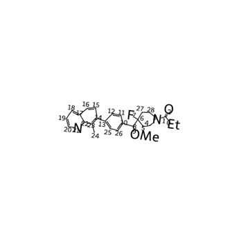 CCC(=O)N1CCC(F)(C(OC)c2ccc(-c3ccc4cccnc4c3C)cc2)CC1